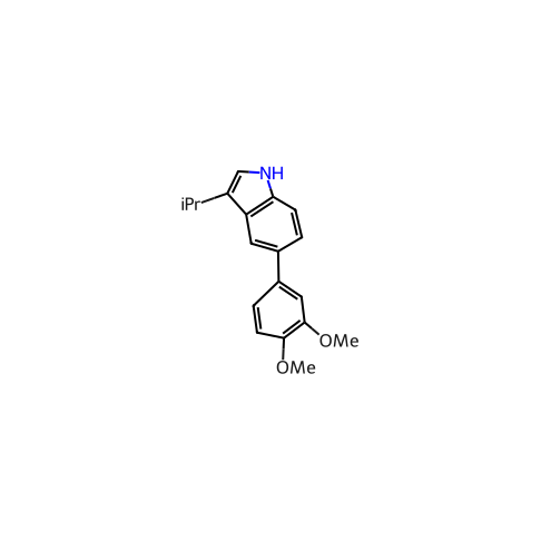 COc1ccc(-c2ccc3[nH]cc(C(C)C)c3c2)cc1OC